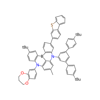 Cc1cc2c3c(c1)N(c1cc(-c4ccc(C(C)(C)C)cc4)cc(-c4ccc(C(C)(C)C)cc4)c1)c1cc(-c4ccc5c(c4)sc4ccccc45)ccc1B3c1cc(C(C)(C)C)ccc1N2c1ccc2c(c1)OCCCO2